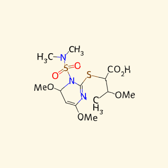 COC1=CC(OC)N(S(=O)(=O)N(C)C)C(SC(C(=O)O)C(C)OC)=N1